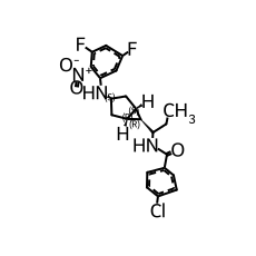 CCC(NC(=O)c1ccc(Cl)cc1)[C@H]1[C@@H]2C[C@@H](Nc3cc(F)cc(F)c3[N+](=O)[O-])C[C@@H]21